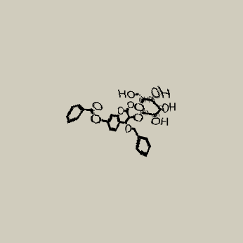 O=C(Oc1ccc2c(OCc3ccccc3)c(O[C@@H]3O[C@H](CO)[C@H](O)[C@H](O)[C@H]3O)c(=O)oc2c1)c1ccccc1